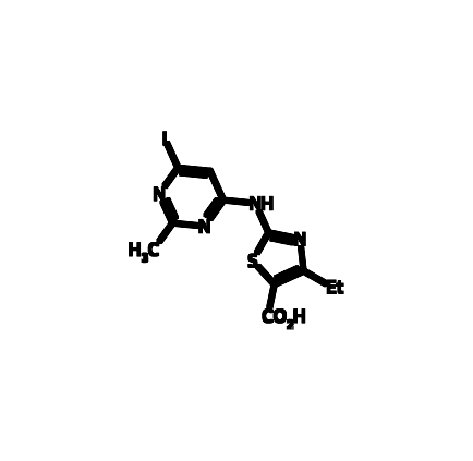 CCc1nc(Nc2cc(I)nc(C)n2)sc1C(=O)O